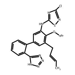 CC=CCc1cc(-c2ccccc2-c2nnn[nH]2)cc(Nc2nc(Cl)ns2)c1OCCC